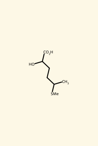 CSC(C)CCC(O)C(=O)O